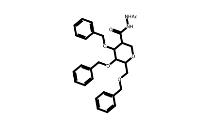 CC(=O)NNC(=O)C1COC(COCc2ccccc2)C(OCc2ccccc2)C1OCc1ccccc1